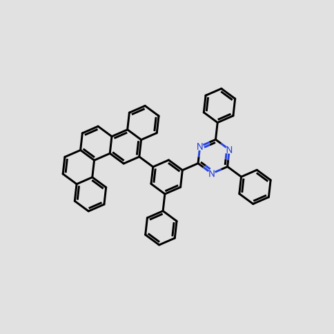 c1ccc(-c2cc(-c3nc(-c4ccccc4)nc(-c4ccccc4)n3)cc(-c3cc4c(ccc5ccc6ccccc6c54)c4ccccc34)c2)cc1